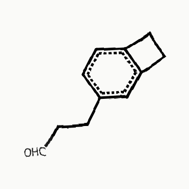 O=CCCc1ccc2c(c1)CC2